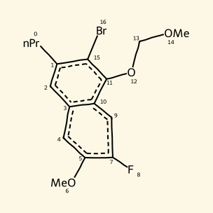 CCCc1cc2cc(OC)c(F)cc2c(OCOC)c1Br